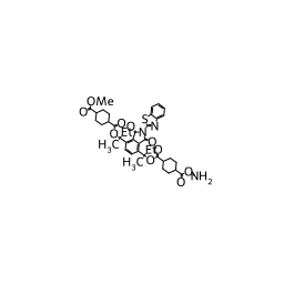 CCC(C)(OC(=O)C1CCC(C(=O)OC)CC1)c1ccc(C(C)(CC)OC(=O)C2CCC(C(=O)ON)CC2)c2c1C(=O)N(c1nc3ccccc3s1)C2=O